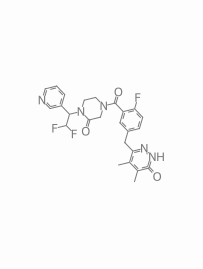 Cc1c(Cc2ccc(F)c(C(=O)N3CCN(C(c4cccnc4)C(F)F)C(=O)C3)c2)n[nH]c(=O)c1C